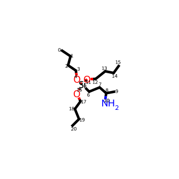 CCCCO[Si](CCC(C)N)(OCCCC)OCCCC